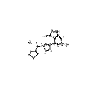 N#CC[C@H](C1CCCC1)n1cc(-c2nc(O)nc3c2C(=O)CN3)cn1